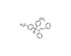 Cc1ccc(P(=O)(c2ccc(C)cc2)C(C=Cc2ccccc2)c2ccccc2)cc1